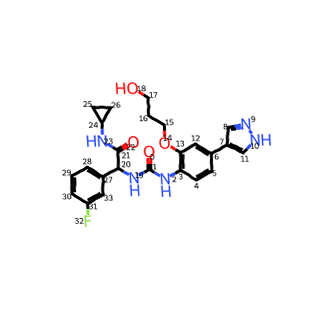 O=C(Nc1ccc(-c2cn[nH]c2)cc1OCCCO)NC(C(=O)NC1CC1)c1cccc(F)c1